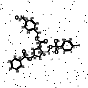 Cc1ccc(S(=O)(=O)OC[C@@H]2C[C@@H](OC(=O)c3ccccc3)CN2C(=O)OCc2ccc([N+](=O)[O-])cc2)cc1